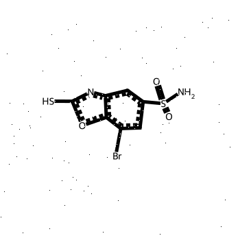 NS(=O)(=O)c1cc(Br)c2oc(S)nc2c1